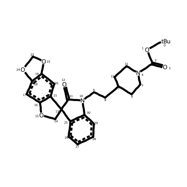 CC(C)(C)OC(=O)N1CCC(CCN2C(=O)C3(COc4cc5c(cc43)OCO5)c3ccccc32)CC1